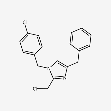 ClCc1nc(Cc2ccccc2)cn1Cc1ccc(Cl)cc1